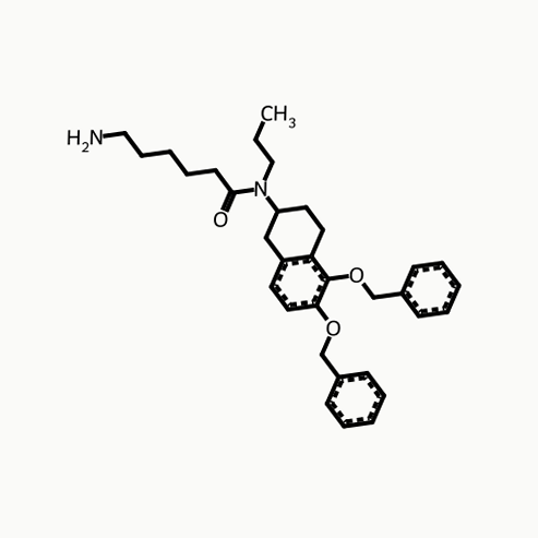 CCCN(C(=O)CCCCCN)C1CCc2c(ccc(OCc3ccccc3)c2OCc2ccccc2)C1